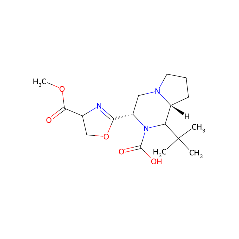 COC(=O)C1COC([C@@H]2CN3CCC[C@@H]3C(C(C)(C)C)N2C(=O)O)=N1